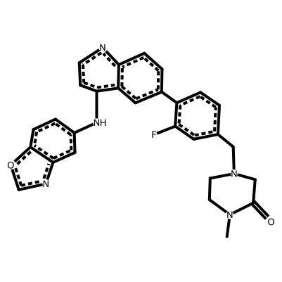 CN1CCN(Cc2ccc(-c3ccc4nccc(Nc5ccc6ocnc6c5)c4c3)c(F)c2)CC1=O